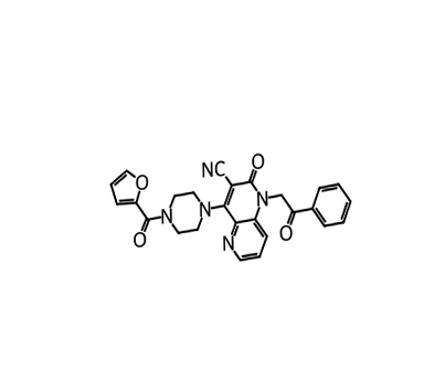 N#Cc1c(N2CCN(C(=O)c3ccco3)CC2)c2ncccc2n(CC(=O)c2ccccc2)c1=O